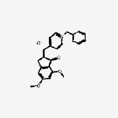 COc1cc2c(c(OC)c1)C(=O)C(Cc1cc[n+](Cc3ccccc3)cc1)C2.[Cl-]